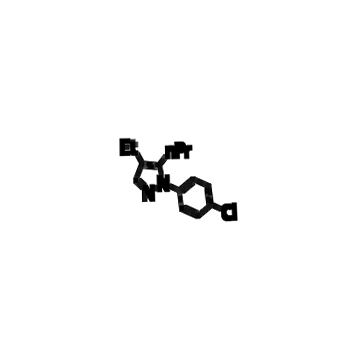 CCCc1c(CC)cnn1-c1ccc(Cl)cc1